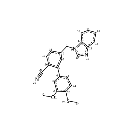 COc1cc(-c2cc(Cn3cnc4ccccc43)ccc2C#N)ccc1SC